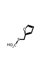 O=C(O)SCc1ccco1